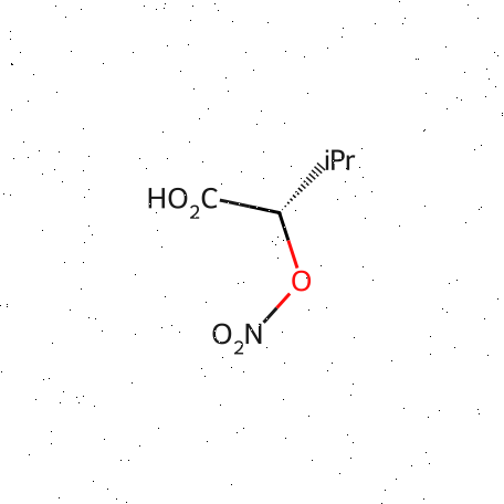 CC(C)[C@H](O[N+](=O)[O-])C(=O)O